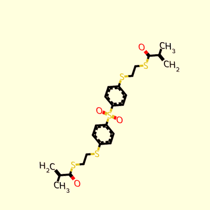 C=C(C)C(=O)SCCSc1ccc(S(=O)(=O)c2ccc(SCCSC(=O)C(=C)C)cc2)cc1